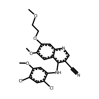 COCCOc1cc2ncc(C#N)c(Nc3cc(OC)c(Cl)cc3Cl)c2cc1OC